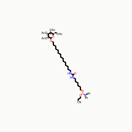 CC(=O)OC[C@H]1O[C@@H](OCCCCCCCCCCCCCCCNC(=O)NCCCCCCOP(OCCC#N)N(C(C)C)C(C)C)[C@H](OC(C)=O)[C@@H](OC(C)=O)[C@@H]1OC(C)=O